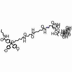 CCCCNC(=O)C1=CC=C(C(OCCCCCCNC(=O)CCC(=O)NCCCCCC(=O)N/C=C/Cc2cn(C(C)O[C@H](COP(=O)(O)OP(=O)(O)OP(=O)(O)O)C(C)O)c(=O)[nH]c2=O)(c2ccc(OC)cc2)c2ccc(OC)cc2)CC1